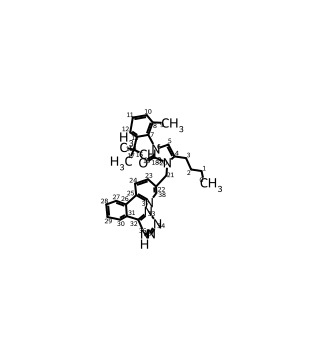 CCCCc1cn(-c2c(C)cccc2C(C)(C)C)c(=O)n1Cc1ccc(-c2ccccc2-c2nnn[nH]2)nc1